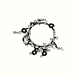 COc1ccc(C[C@@H]2NC(=O)[C@@H]3CC/C=C\CO[C@H]4C[C@@H](C(=O)N3)N(C4)C(=O)[C@H](Cc3c[nH]c4ccc(F)cc34)NC(=O)[C@H](Cc3c[nH]c4ccc(F)cc34)NC(=O)[C@@H](C)NC(=O)[C@H](CCCCN)NC(=O)CCSCc3cccc(c3)CSC[C@@H](C(N)=O)NC(=O)[C@]3(C)CCCN3C2=O)cc1